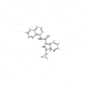 O=C(Nc1cccc2cnccc12)c1nc(C2CC2)n2ccccc12